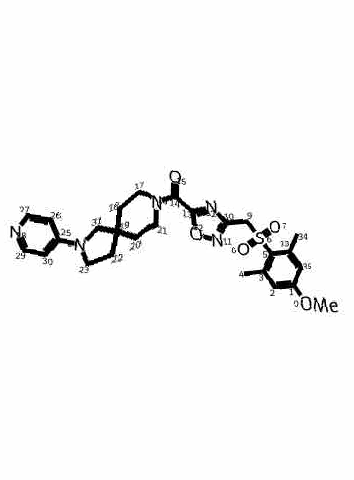 COc1cc(C)c(S(=O)(=O)Cc2noc(C(=O)N3CCC4(CC3)CCN(c3ccncc3)C4)n2)c(C)c1